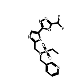 CCS(=O)(=O)N(Cc1cccnc1)Cc1ncc(-c2nnc(C(F)F)o2)s1